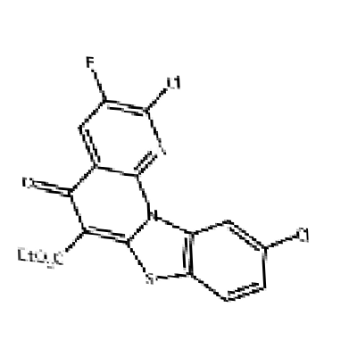 CCOC(=O)c1c(=O)c2cc(F)c(Cl)nc2n2c1sc1ccc(Cl)cc12